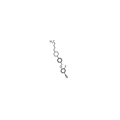 CCCCCC1CCC(c2ccc(COc3ccc(C#N)cc3F)cc2)CC1